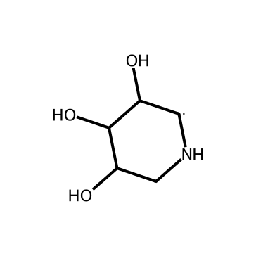 OC1[CH]NCC(O)C1O